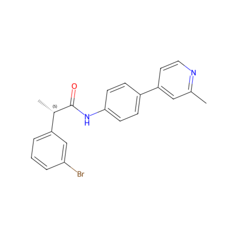 Cc1cc(-c2ccc(NC(=O)[C@@H](C)c3cccc(Br)c3)cc2)ccn1